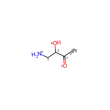 CC(C)C(=O)C(O)CN